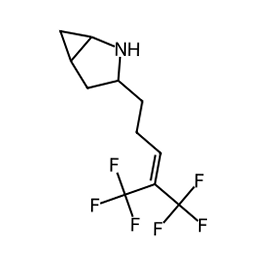 FC(F)(F)C(=CCCC1CC2CC2N1)C(F)(F)F